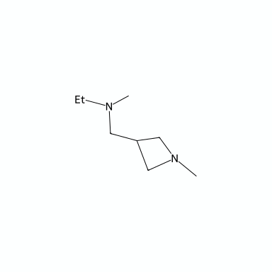 CCN(C)CC1CN(C)C1